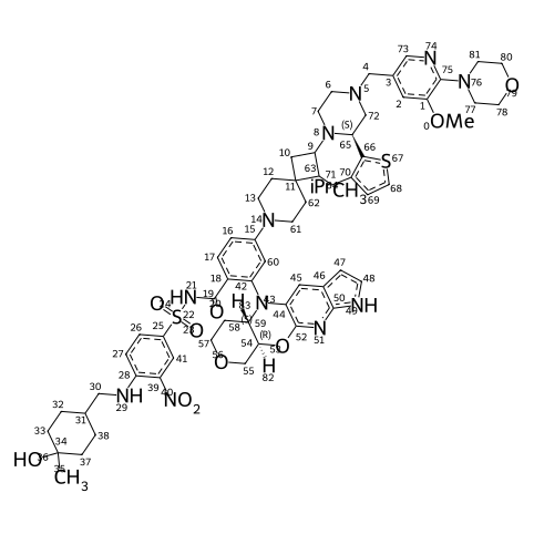 COc1cc(CN2CCN(C3CC4(CCN(c5ccc(C(=O)NS(=O)(=O)c6ccc(NCC7CCC(C)(O)CC7)c([N+](=O)[O-])c6)c(N6c7cc8cc[nH]c8nc7O[C@H]7COCC[C@@H]76)c5)CC4)C3C)[C@H](c3sccc3C(C)C)C2)cnc1N1CCOCC1